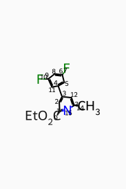 CCOC(=O)c1cc(-c2cc(F)cc(F)c2)cc(C)n1